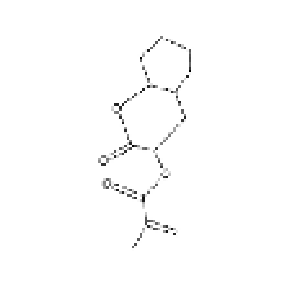 C=C(C)C(=O)OC1CC2CCCCC2OC1=O